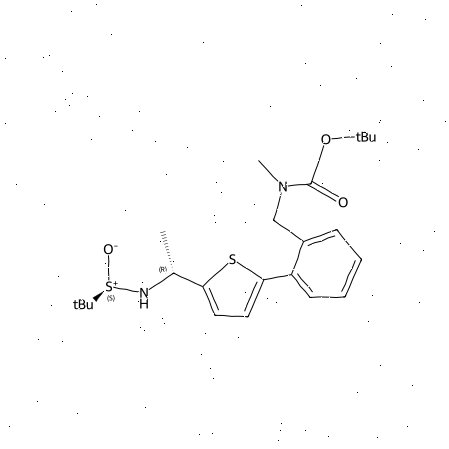 C[C@@H](N[S@+]([O-])C(C)(C)C)c1ccc(-c2ccccc2CN(C)C(=O)OC(C)(C)C)s1